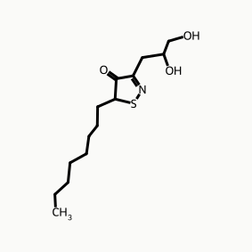 CCCCCCCCC1SN=C(CC(O)CO)C1=O